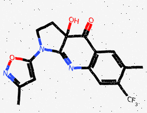 Cc1cc(N2CCC3(O)C(=O)c4cc(C)c(C(F)(F)F)cc4N=C23)on1